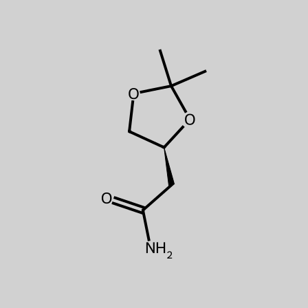 CC1(C)OC[C@H](CC(N)=O)O1